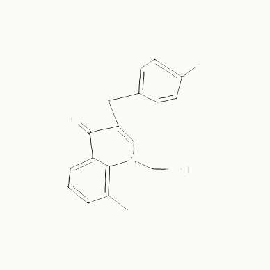 Cc1cccc2c(=O)c(Cc3ccc(F)cc3)cn(CC(=O)O)c12